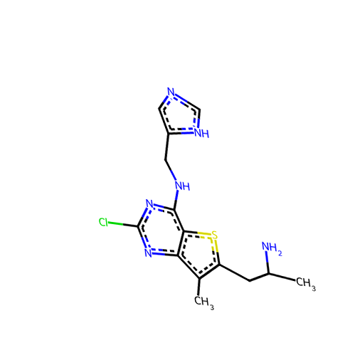 Cc1c(CC(C)N)sc2c(NCc3cnc[nH]3)nc(Cl)nc12